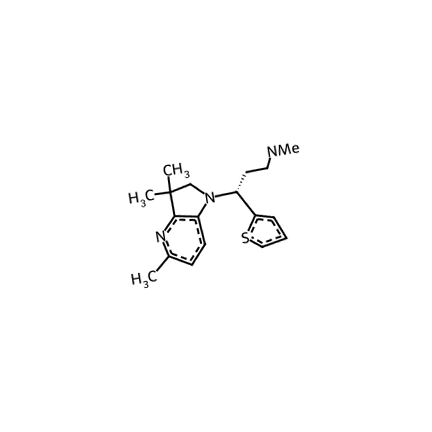 CNCC[C@H](c1cccs1)N1CC(C)(C)c2nc(C)ccc21